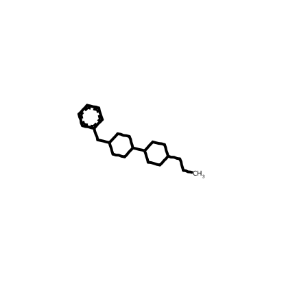 CCCC1CCC(C2CCC(Cc3ccccc3)CC2)CC1